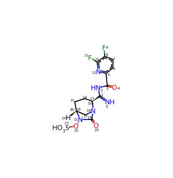 N=C(NC(=O)c1ccc(F)c(F)n1)[C@@H]1CC[C@@H]2CN1C(=O)N2OS(=O)(=O)O